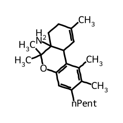 CCCCCc1cc2c(c(C)c1C)C1C=C(C)CCC1(N)C(C)(C)O2